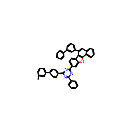 Cc1cccc(-c2ccc(-c3nc(-c4ccccc4)nc(-c4ccc5c(c4)oc4c6ccccc6cc(-c6cccc(-c7ccccc7)c6)c54)n3)cc2)c1